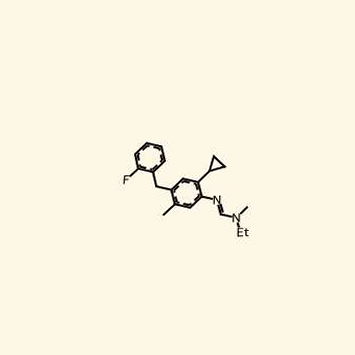 CCN(C)C=Nc1cc(C)c(Cc2ccccc2F)cc1C1CC1